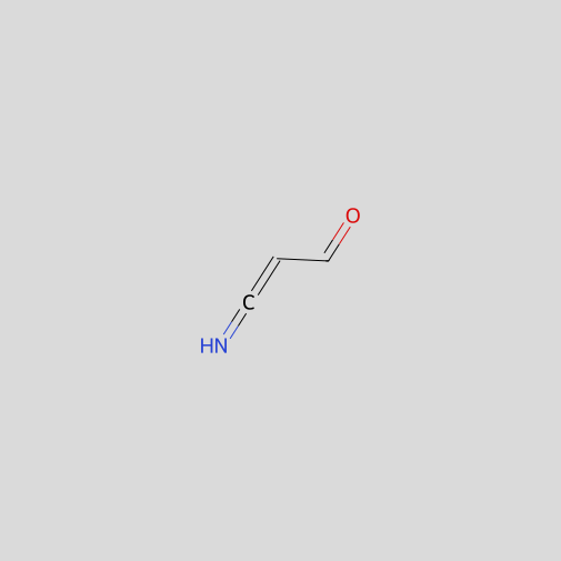 N=C=CC=O